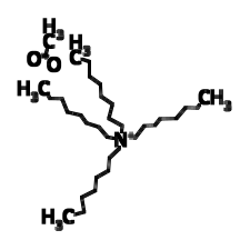 CC(=O)[O-].CCCCCCCC[N+](CCCCCCCC)(CCCCCCCC)CCCCCCCC